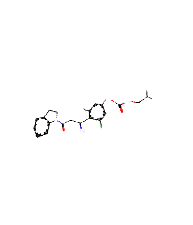 Cc1cc(OC(=O)OCC(C)C)cc(Cl)c1C(N)CC(=O)N1CCc2ccccc21